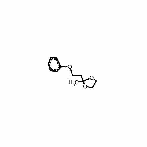 CC1(CCOc2ccccc2)OCCO1